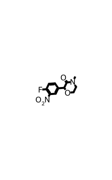 CN1CCOC(c2ccc(F)c([N+](=O)[O-])c2)C1=O